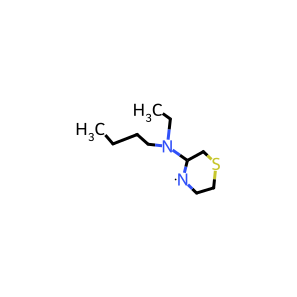 CCCCN(CC)C1CSCC[N]1